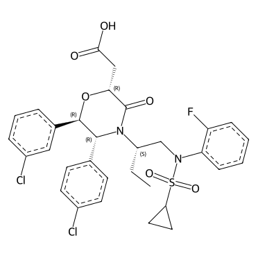 CC[C@@H](CN(c1ccccc1F)S(=O)(=O)C1CC1)N1C(=O)[C@@H](CC(=O)O)O[C@H](c2cccc(Cl)c2)[C@H]1c1ccc(Cl)cc1